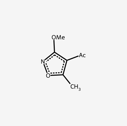 COc1noc(C)c1C(C)=O